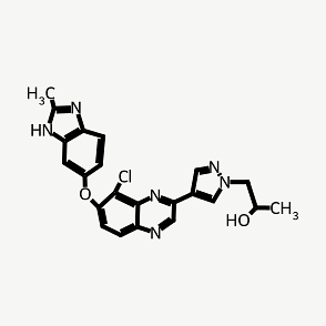 Cc1nc2ccc(Oc3ccc4ncc(-c5cnn(CC(C)O)c5)nc4c3Cl)cc2[nH]1